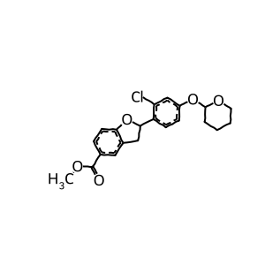 COC(=O)c1ccc2c(c1)CC(c1ccc(OC3CCCCO3)cc1Cl)O2